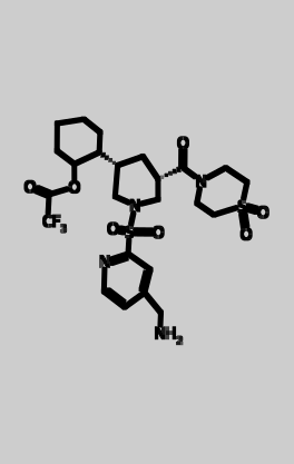 NCc1ccnc(S(=O)(=O)N2C[C@@H](C(=O)N3CCS(=O)(=O)CC3)C[C@@H](C3CCCCC3OC(=O)C(F)(F)F)C2)c1